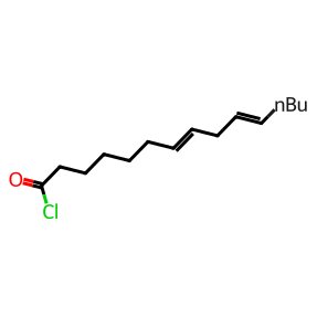 CCCCC=CCC=CCCCCCC(=O)Cl